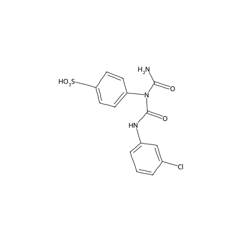 NC(=O)N(C(=O)Nc1cccc(Cl)c1)c1ccc(S(=O)(=O)O)cc1